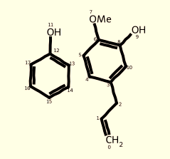 C=CCc1ccc(OC)c(O)c1.Oc1ccccc1